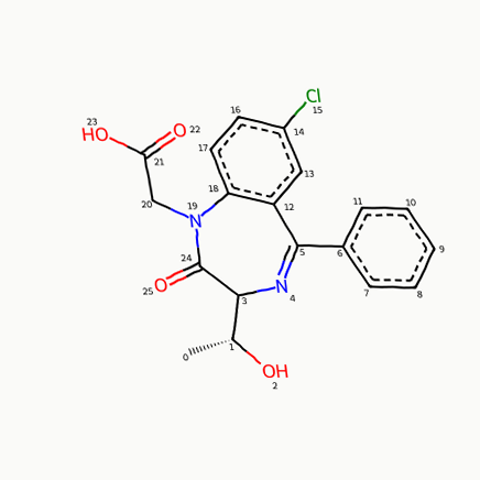 C[C@@H](O)C1N=C(c2ccccc2)c2cc(Cl)ccc2N(CC(=O)O)C1=O